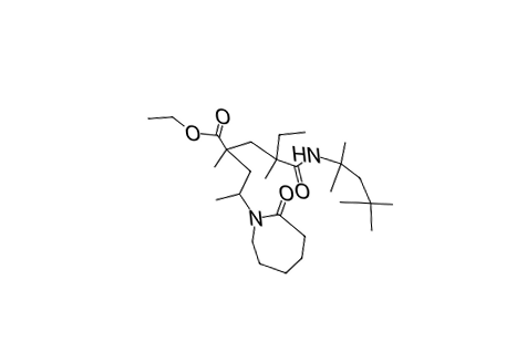 CCOC(=O)C(C)(CC(C)N1CCCCCC1=O)CC(C)(CC)C(=O)NC(C)(C)CC(C)(C)C